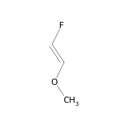 COC=CF